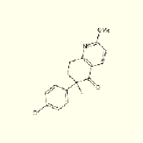 COc1ccc2c(n1)CCC(C)(c1ccc(Cl)cc1)C2=O